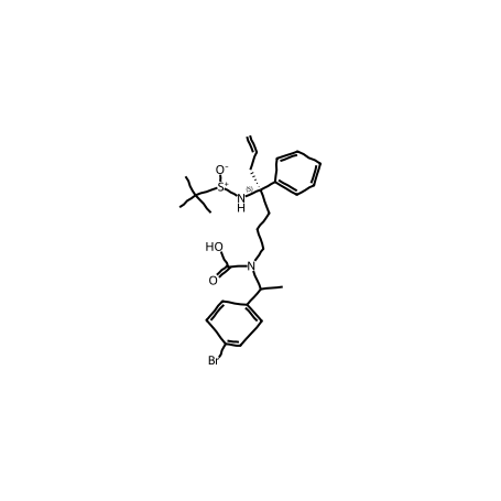 C=CC[C@](CCCN(C(=O)O)C(C)c1ccc(Br)cc1)(N[S+]([O-])C(C)(C)C)c1ccccc1